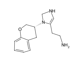 NCCC1=CNCN1[C@H]1COc2ccccc2C1